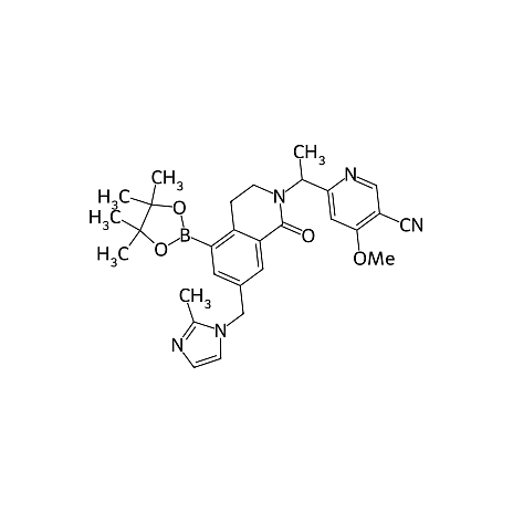 COc1cc(C(C)N2CCc3c(B4OC(C)(C)C(C)(C)O4)cc(Cn4ccnc4C)cc3C2=O)ncc1C#N